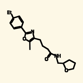 CCc1ccc(-c2nc(CCCC(=O)NCC3CCCO3)c(C)o2)cc1